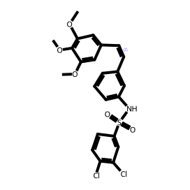 COc1cc(/C=C\c2cccc(NS(=O)(=O)c3ccc(Cl)c(Cl)c3)c2)cc(OC)c1OC